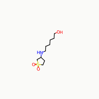 O=S1(=O)CCC(NCCCCCCO)C1